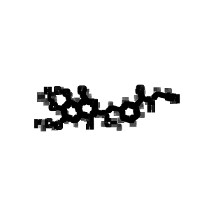 COc1cc2[nH]c(N(C)Cc3cccc(C(=O)NCC#N)c3)nc(=O)c2c(OC)c1OC